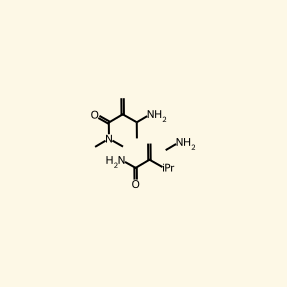 C=C(C(=O)N(C)C)C(C)N.C=C(C(N)=O)C(C)C.CN